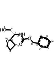 O=C(N[C@@H](CO)C1CCCO1)OCc1ccccc1